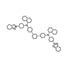 c1cc(-c2ccc(N(c3ccc(-n4cc5ccccc5n4)cc3)c3cccc4ccccc34)cc2)cc(-c2ccc(N(c3ccc(-n4nc5ccccc5n4)cc3)c3cccc4ccccc34)cc2)c1